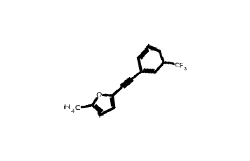 Cc1ccc(C#CC2=CC(C(F)(F)F)CC=C2)o1